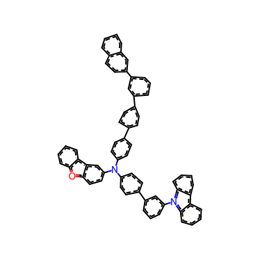 c1cc(-c2ccc(-c3ccc(N(c4ccc(-c5cccc(-n6c7ccccc7c7ccccc76)c5)cc4)c4ccc5oc6ccccc6c5c4)cc3)cc2)cc(-c2ccc3ccccc3c2)c1